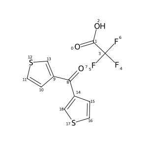 O=C(O)C(F)(F)F.O=C(c1ccsc1)c1ccsc1